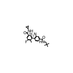 Cc1c(F)cc(C(=O)NC2CC2)cc1-c1ccc(C(=O)NCC(C)(C)C)cc1N